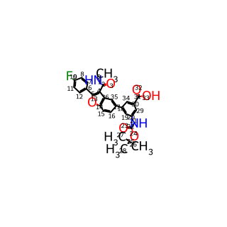 CNC(=O)c1c(-c2ccc(F)cc2)oc2ccc(-c3cc(NC(=O)OC(C)(C)C)cc(C(=O)O)c3)cc12